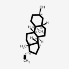 C=C[C@H]1CC[C@H]2[C@@H]3CC[C@H]4C[C@H](O)CC[C@]4(C)[C@H]3CC[C@]12C